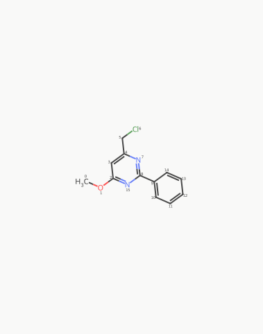 COc1cc(CCl)nc(-c2ccccc2)n1